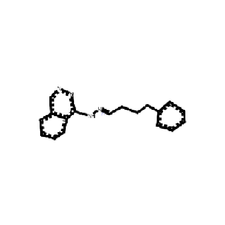 C(/CCCc1ccccc1)=N\Nc1nncc2ccccc12